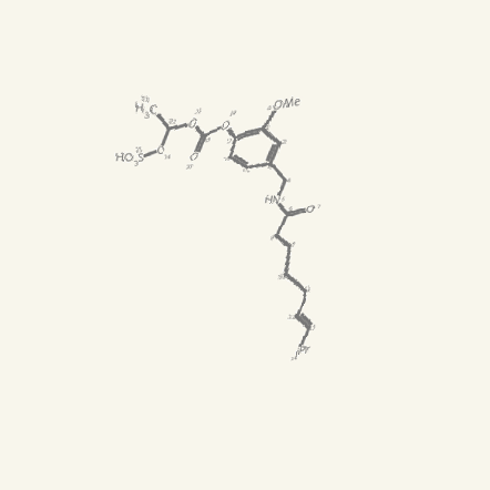 COc1cc(CNC(=O)CCCC/C=C/C(C)C)ccc1OC(=O)OC(C)OS(=O)(=O)O